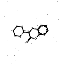 O=C1Oc2ccccc2CC1C1CCCCC1